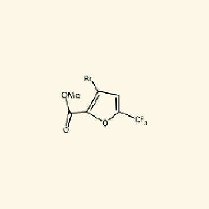 COC(=O)c1oc(C(F)(F)F)cc1Br